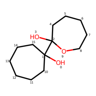 OC1(C2(O)CCCCCO2)CCCCCC1